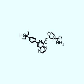 CCC(O)(CC)c1ccc(-c2cc3nccnc3c(OC[C@@H]3CN(C(N)=O)CCO3)n2)cc1